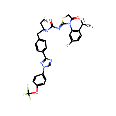 CCC(Cc1ccc(-c2ncn(-c3ccc(OC(F)(F)F)cc3)n2)cc1)NC(=O)/N=C1\SCC(=O)N1c1cc(Cl)ccc1C(C)C